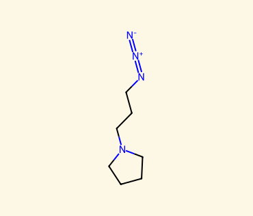 [N-]=[N+]=NCCCN1CCCC1